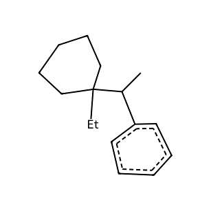 CCC1(C(C)c2ccccc2)CCCCC1